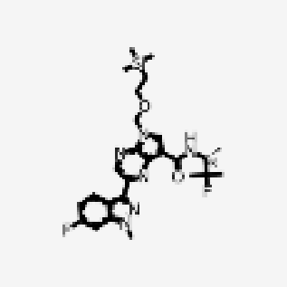 C[C@@H](NC(=O)c1cn(COCC[Si](C)(C)C)c2ncc(-c3nn(C)c4cc(F)ccc34)nc12)C(C)(C)F